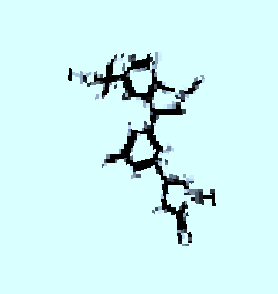 Cc1cc(-c2cn(C)c3ncc(C(C)(C)O)cc23)cc(C2CNC(=O)C2)c1